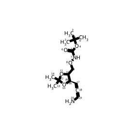 CC(C)(C)OC(=O)NOCC1OC(C)(C)O[C@@H]1C=C=CN